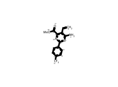 C=Cc1c(N)nc(-c2ccc(C(F)(F)F)cc2)nc1C(=O)OC